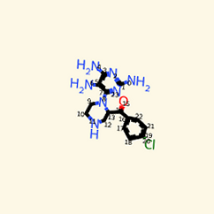 Nc1nc(N)c(N)c(N2CCNCC2C(=O)c2ccc(Cl)cc2)n1